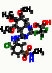 CNS(=O)(=O)c1ccc(Cl)c(Nc2ncnc3cc(OC)c(OC)c(OC)c23)c1.O=C(O)C(F)(F)F